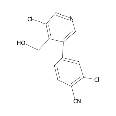 N#Cc1ccc(-c2cncc(Cl)c2CO)cc1Cl